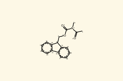 [CH2]N(C(C)=O)C(=O)OCC1c2ccccc2-c2ccccc21